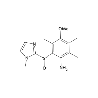 COc1c(C)c(C)c(N)c([S+]([O-])c2nccn2C)c1C